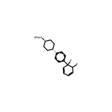 CCCCC[C@H]1CC[C@H](c2ccc(C3(F)C=CC=CC3F)cc2)CC1